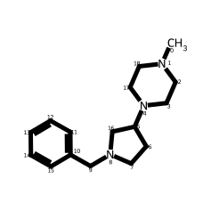 CN1CCN(C2CCN(Cc3ccccc3)C2)CC1